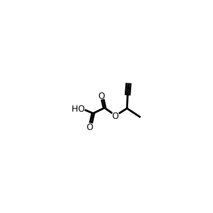 C#CC(C)OC(=O)C(=O)O